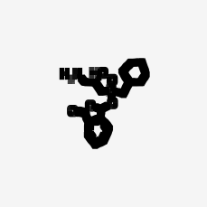 NC[C@H](O)CP(=O)(CC1CCCCC1)OC1OC(=O)c2ccccc21